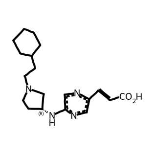 O=C(O)C=Cc1cnc(N[C@@H]2CCN(CCC3CCCCC3)C2)cn1